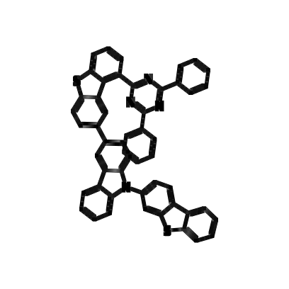 c1ccc(-c2nc(-c3ccccc3)nc(-c3cccc4sc5ccc(-c6ccc7c(c6)c6ccccc6n7-c6ccc7c(c6)sc6ccccc67)cc5c34)n2)cc1